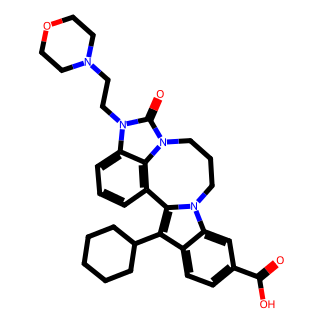 O=C(O)c1ccc2c(C3CCCCC3)c3n(c2c1)CCCn1c(=O)n(CCN2CCOCC2)c2cccc-3c21